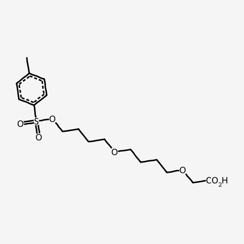 Cc1ccc(S(=O)(=O)OCCCCOCCCCOCC(=O)O)cc1